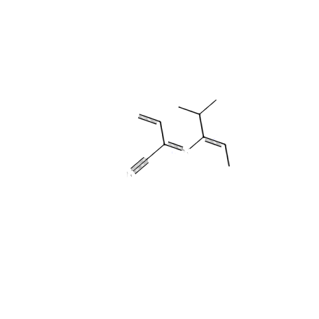 C=C/C(C#N)=N\C(=C/C)C(C)C